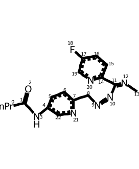 CCCC(=O)Nc1ccc(C/N=N\C(=N/C)c2ccc(F)cn2)nc1